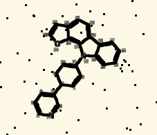 C1=CC(c2cccnc2)CC=C1n1c2ccccc2c2ccc3ccoc3c21